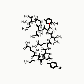 CC[C@H](C)[C@H](NC(=O)[C@H](Cc1ccc(O)cc1)NC(=O)[C@H](CC(=O)O)NC(=O)[C@@H](NC(=O)[C@@H](NC(=O)[C@H](CCC(=O)O)NC(=O)[C@@H](NC(=O)[C@H](Cc1ccc(O)cc1)NC(=O)[C@H](CCCN)NC(=O)[C@@H](N)CCC(=O)O)[C@@H](C)O)C(C)C)C(C)C)C(=O)O